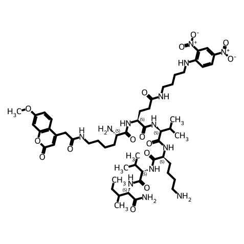 CCC(C)[C@H](NC(=O)[C@@H](NC(=O)[C@H](CCCCN)NC(=O)[C@@H](NC(=O)[C@H](CCC(=O)NCCCCNc1ccc([N+](=O)[O-])cc1[N+](=O)[O-])NC(=O)[C@@H](N)CCCCNC(=O)Cc1cc(=O)oc2cc(OC)ccc12)C(C)C)C(C)C)C(N)=O